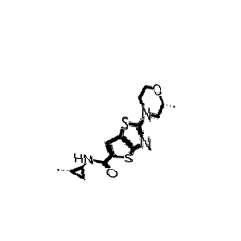 C[C@@H]1CN(c2nc3sc(C(=O)N[C@H]4C[C@@H]4C)cc3s2)CCO1